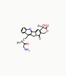 CC[C@@]1(O)C(=O)OCc2c1cc1n(c2=O)Cc2c-1nc1ccccc1c2CCN(C(=O)CN)C(C)C